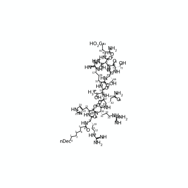 CCCCCCCCCCCCCCCC(=O)N[C@@H](CCCNC(=N)N)C(=O)N[C@@H](Cc1c[nH]cn1)C(=O)N[C@@H](CCCNC(=N)N)C(=O)N[C@@H](CCC(N)=O)C(=O)N[C@H](C(=O)N[C@@H](CCCNC(=N)N)C(=O)N[C@@H](CO)C(=O)N[C@@H](CO)C(=O)N[C@H](C(=O)N[C@@H](CCC(=O)O)C(N)=O)[C@@H](C)O)[C@@H](C)O